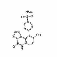 CNS(=O)(=O)c1ccc(-c2c(O)ccc3[nH]c(=O)c4sccc4c23)cc1